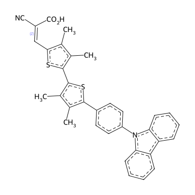 Cc1c(/C=C(/C#N)C(=O)O)sc(-c2sc(-c3ccc(-n4c5ccccc5c5ccccc54)cc3)c(C)c2C)c1C